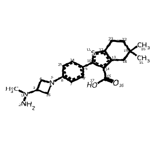 CN(N)C1CN(c2ccc(-c3sc4c(c3C(=O)O)CC(C)(C)CC4)cc2)C1